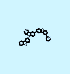 c1ccc(-c2ccc3sc4ccc(-c5ccc6c(c5)c5cnccc5n6-c5ccc6oc7ccccc7c6c5)cc4c3c2)nc1